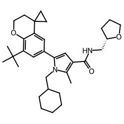 Cc1c(C(=O)NC[C@@H]2CCCO2)cc(-c2cc(C(C)(C)C)c3c(c2)C2(CCO3)CC2)n1CC1CCCCC1